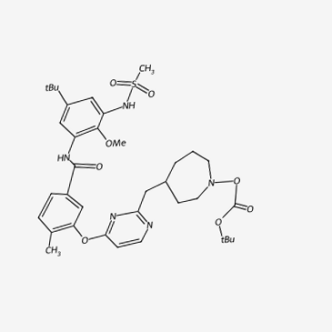 COc1c(NC(=O)c2ccc(C)c(Oc3ccnc(CC4CCCN(OC(=O)OC(C)(C)C)CC4)n3)c2)cc(C(C)(C)C)cc1NS(C)(=O)=O